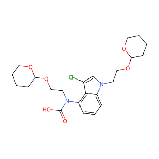 O=C(O)N(CCOC1CCCCO1)c1cccc2c1c(Cl)cn2CCOC1CCCCO1